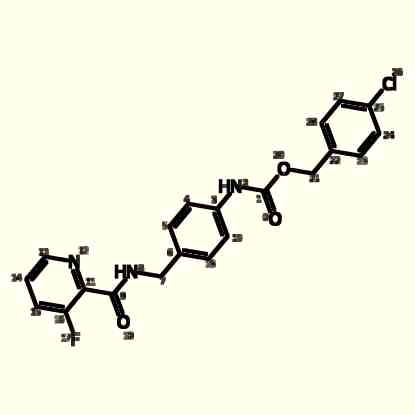 O=C(Nc1ccc(CNC(=O)c2ncccc2F)cc1)OCc1ccc(Cl)cc1